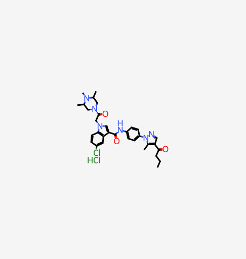 CCCC(=O)c1cnn(-c2ccc(NC(=O)c3cn(CC(=O)N4CC(C)N(C)C(C)C4)c4ccc(Cl)cc34)cc2)c1C.Cl